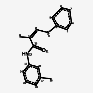 CC(=CSc1ccccc1)C(=O)Nc1cccc(C)c1